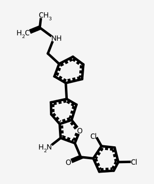 C=C(C)NCc1cccc(-c2ccc3c(N)c(C(=O)c4ccc(Cl)cc4Cl)oc3c2)c1